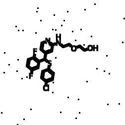 OCCOCCNc1cc(C(Sc2ccc(Cl)cc2)c2cc(F)ccc2F)ccn1